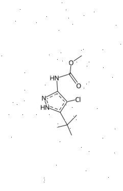 COC(=O)Nc1n[nH]c(C(C)(C)C)c1Cl